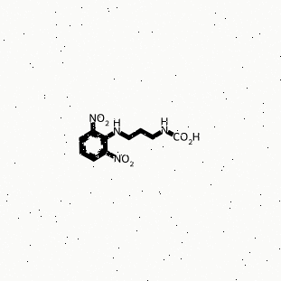 O=C(O)NCCCNc1c([N+](=O)[O-])cccc1[N+](=O)[O-]